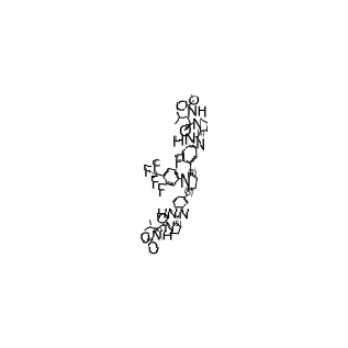 COC(=O)NC(C(=O)N1CCC[C@H]1c1nc2cc([C@H]3CC[C@@H](c4ccc5[nH]c([C@@H]6CCCN6C(=O)[C@@H](NC(=O)OC)C(C)C)nc5c4)N3c3cc(F)c(C(F)(F)F)cc3F)ccc2[nH]1)C(C)C